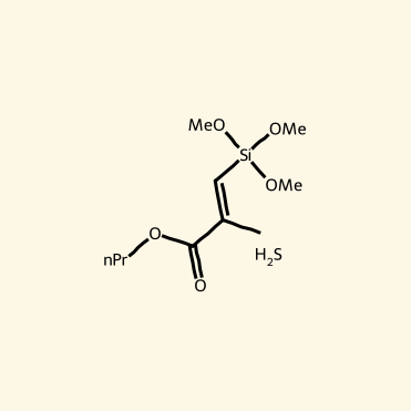 CCCOC(=O)C(C)=C[Si](OC)(OC)OC.S